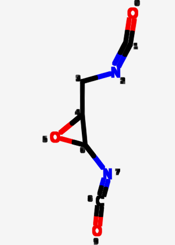 O=C=NCC1OC1N=C=O